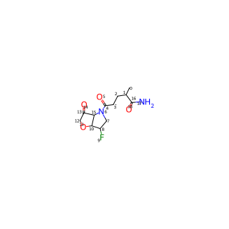 CC(C[CH]C(=O)N1CC(F)C2OCC(=O)C21)C(N)=O